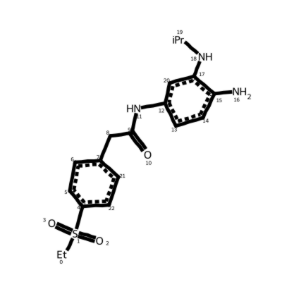 CCS(=O)(=O)c1ccc(CC(=O)Nc2ccc(N)c(NC(C)C)c2)cc1